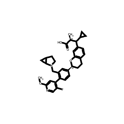 COc1cc(-c2ccc([C@@H]3CCc4ccc(C(C5CC5)[C@H](C)C(=O)O)cc4O3)cc2CN2CCC3CC32)c(F)cn1